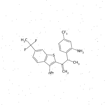 C=C(c1sc2cc(C(C)(F)F)ccc2c1CCC)C(C)c1ccc(C(F)(F)F)cc1N